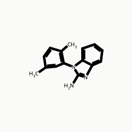 Cc1ccc(C)c(-n2c(N)nc3ccccc32)c1